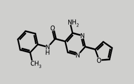 Cc1ccccc1NC(=O)c1cnc(-c2ccco2)nc1N